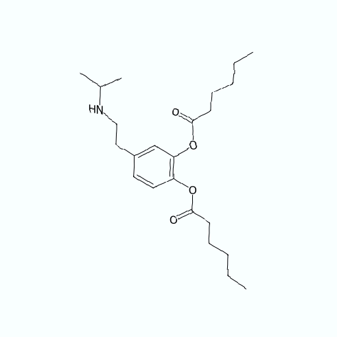 CCCCCC(=O)Oc1ccc(CCNC(C)C)cc1OC(=O)CCCCC